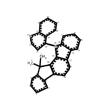 CC1(C)c2ccccc2-c2ccc3c4ccccc4n(-c4ccnc5ccccc45)c3c21